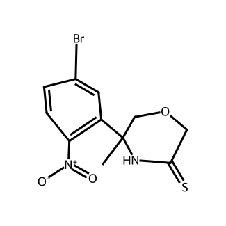 CC1(c2cc(Br)ccc2[N+](=O)[O-])COCC(=S)N1